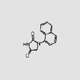 O=C1CN(c2cccc3ccccc23)C(=O)N1